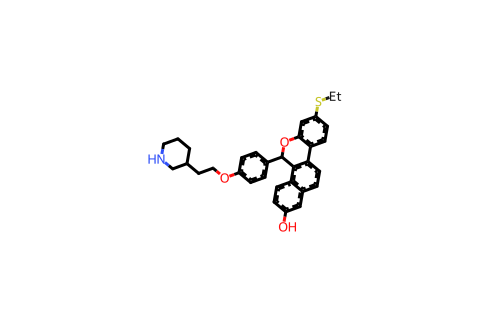 CCSc1ccc2c(c1)OC(c1ccc(OCCC3CCCNC3)cc1)c1c-2ccc2cc(O)ccc12